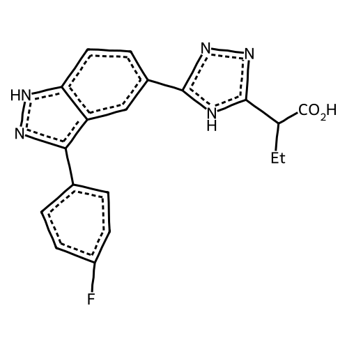 CCC(C(=O)O)c1nnc(-c2ccc3[nH]nc(-c4ccc(F)cc4)c3c2)[nH]1